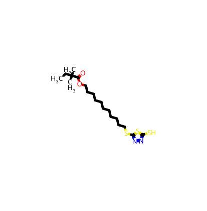 CCC(C)(C)C(=O)OCCCCCCCCCCCSc1nnc(S)s1